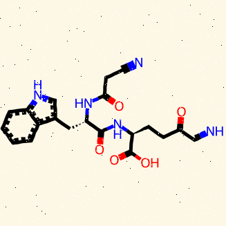 N#CCC(=O)N[C@@H](Cc1c[nH]c2ccccc12)C(=O)N[C@@H](CCC(=O)C=N)C(=O)O